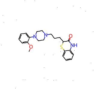 COc1ccccc1N1CCN(CCCC2Sc3ccccc3NC2=O)CC1